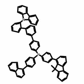 CC1(C)c2ccccc2-c2cccc(-c3ccc(N(c4ccc(-c5cccc(-c6ccccc6-n6c7ccccc7c7ccccc76)c5)cc4)c4ccc(-c5cccc6ccccc56)cc4)cc3)c21